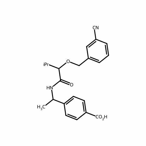 CC(NC(=O)C(OCc1cccc(C#N)c1)C(C)C)c1ccc(C(=O)O)cc1